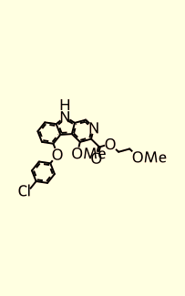 COCCOC(=O)c1ncc2[nH]c3cccc(Oc4ccc(Cl)cc4)c3c2c1OC